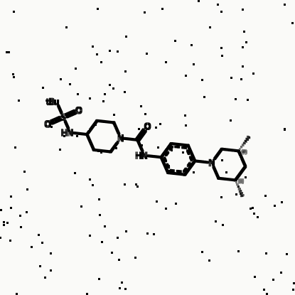 C[C@@H]1C[C@H](C)CN(c2ccc(NC(=O)N3CCC(NS(=O)(=O)C(C)(C)C)CC3)cc2)C1